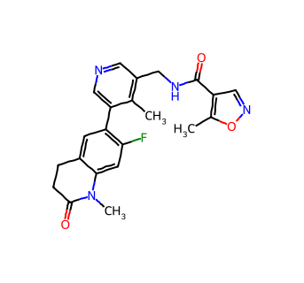 Cc1oncc1C(=O)NCc1cncc(-c2cc3c(cc2F)N(C)C(=O)CC3)c1C